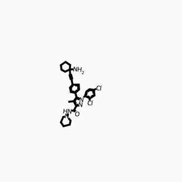 Cc1c(C(=O)NN2CCCCC2)nn(-c2ccc(Cl)cc2Cl)c1-c1ccc(C#CC2(N)CCCCC2)cc1